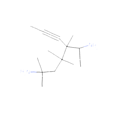 CC#CC(C)(C(C)N)C(C)(C)CC(C)(C)N